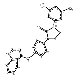 O=C1N(c2ccc(Oc3ccnc4ccccc34)cc2)CCN1c1cc([N+](=O)[O-])cc(C(F)(F)F)c1